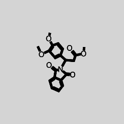 COC(=O)CC(c1ccc(OC)c(OC)c1)N1C(=O)c2ccccc2C1=O